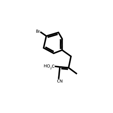 CC(Cc1ccc(Br)cc1)=C(C#N)C(=O)O